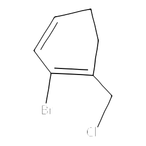 ClCC1=C(Br)C=CCC1